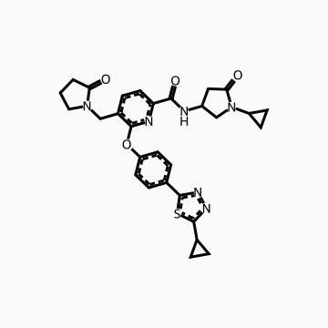 O=C(NC1CC(=O)N(C2CC2)C1)c1ccc(CN2CCCC2=O)c(Oc2ccc(-c3nnc(C4CC4)s3)cc2)n1